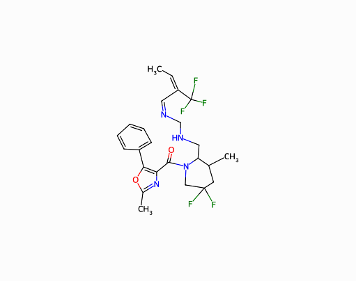 C/C=C(\C=N/CNCC1C(C)CC(F)(F)CN1C(=O)c1nc(C)oc1-c1ccccc1)C(F)(F)F